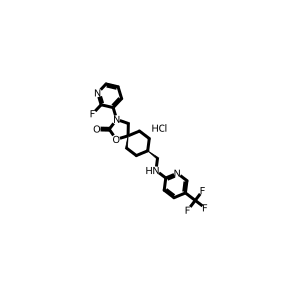 Cl.O=C1O[C@]2(CC[C@H](CNc3ccc(C(F)(F)F)cn3)CC2)CN1c1cccnc1F